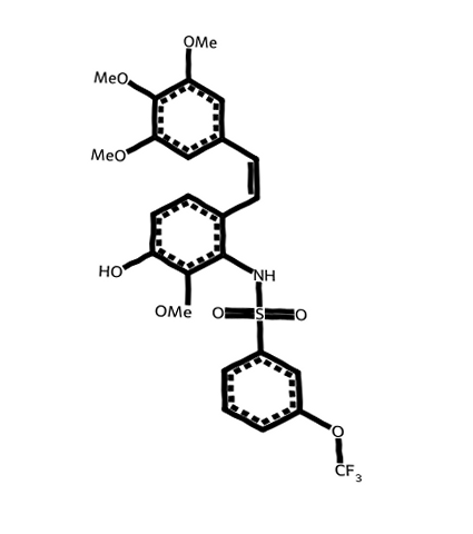 COc1cc(/C=C\c2ccc(O)c(OC)c2NS(=O)(=O)c2cccc(OC(F)(F)F)c2)cc(OC)c1OC